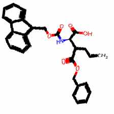 C=CCC(C(=O)OCc1ccccc1)[C@@H](NC(=O)OCC1c2ccccc2-c2ccccc21)C(=O)O